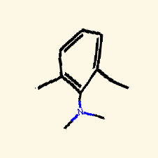 [CH2]c1cccc(C)c1N(C)C